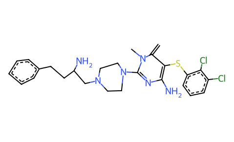 C=C1C(Sc2cccc(Cl)c2Cl)=C(N)N=C(N2CCN(CC(N)CCc3ccccc3)CC2)N1C